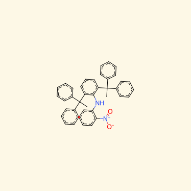 CC(c1ccccc1)(c1ccccc1)c1cccc(C(C)(c2ccccc2)c2ccccc2)c1Nc1ccccc1[N+](=O)[O-]